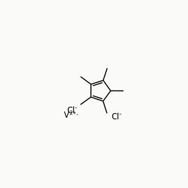 CC1=C(C)C(C)C(C)=C1C.[Cl-].[Cl-].[V+2]